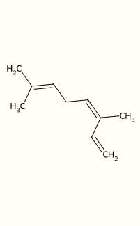 [CH2]C(C)=CCC=C(C)C=C